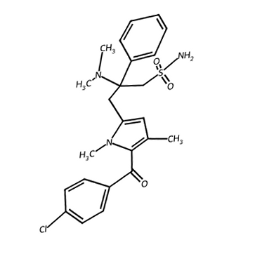 Cc1cc(CC(CS(N)(=O)=O)(c2ccccc2)N(C)C)n(C)c1C(=O)c1ccc(Cl)cc1